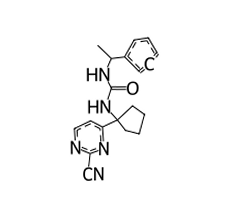 CC(NC(=O)NC1(c2ccnc(C#N)n2)CCCC1)c1ccccc1